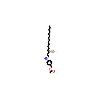 Br.CCCCCCCCCCCCCCCCNc1ccc(COC(C)=O)cc1